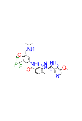 COc1cncc(/C(N)=C/N(N)c2cc(C(=O)Nc3cc(CNC(C)C)c(OC)c(C(F)(F)F)c3)ccc2C)c1